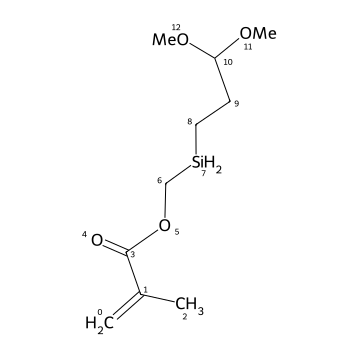 C=C(C)C(=O)OC[SiH2]CCC(OC)OC